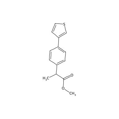 COC(=O)C(C)c1ccc(-c2ccsc2)cc1